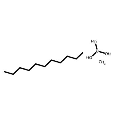 C.CCCCCCCCCCC.OB(O)O